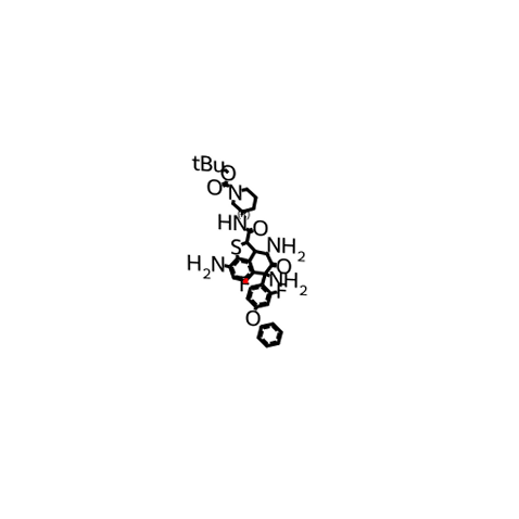 CC(C)(C)OC(=O)N1CCC[C@@H](NC(=O)C2Sc3c(N)ccc4c3C2C(N)C(=O)C4(N)c2c(F)cc(Oc3ccccc3)cc2F)C1